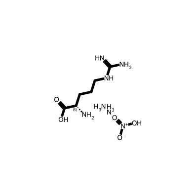 N.N.N=C(N)NCCC[C@H](N)C(=O)O.O=[N+]([O-])O